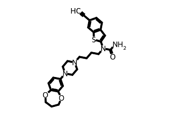 C#Cc1ccc2cc(N(CCCCN3CCN(c4ccc5c(c4)OCCCO5)CC3)C(N)=O)sc2c1